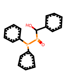 O=[P](C(O)c1ccccc1)P(c1ccccc1)c1ccccc1